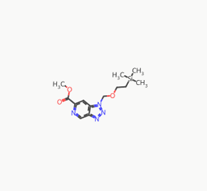 COC(=O)c1cc2c(cn1)nnn2COCC[Si](C)(C)C